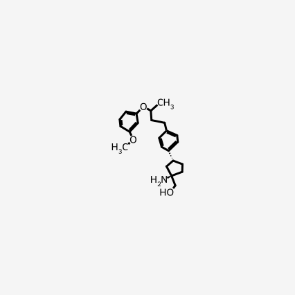 COc1cccc(OC(C)CCc2ccc([C@@H]3CC[C@](N)(CO)C3)cc2)c1